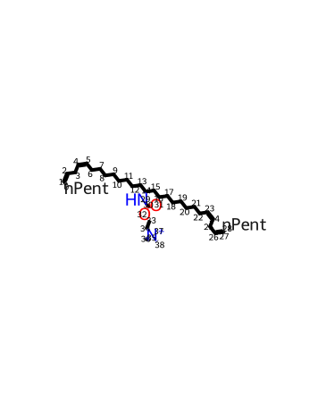 CCCCC/C=C\C/C=C\CCCCCCCCC(CCCCCCCC/C=C\C/C=C\CCCCC)NC(=O)OCC[N+](C)(C)C